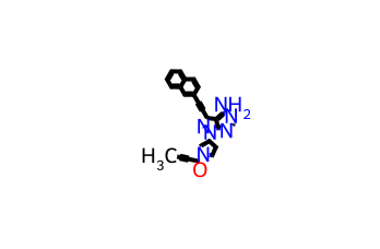 CC#CC(=O)N1CC[C@H](n2nc(C#Cc3ccc4ccccc4c3)c3c(N)ncnc32)C1